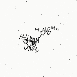 CC1(C)O[C@@H](C(N)=O)[C@H](C(N)=O)O1.COC(=O)[C@@H](N)CCCCN